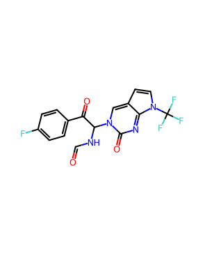 O=CNC(C(=O)c1ccc(F)cc1)n1cc2ccn(C(F)(F)F)c2nc1=O